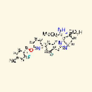 CO[C@@H](CN)Cn1c(Cc2ccc(-c3cccc(OCc4ccc(C#N)cc4F)n3)cc2F)nc2ccc(C(=O)O)cc21